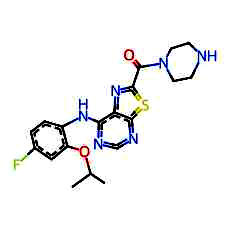 CC(C)Oc1cc(F)ccc1Nc1ncnc2sc(C(=O)N3CCNCC3)nc12